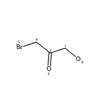 [O]CC(=O)CBr